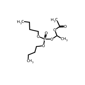 CCCCOP(=O)(OCCCC)OC(C)OC(C)=O